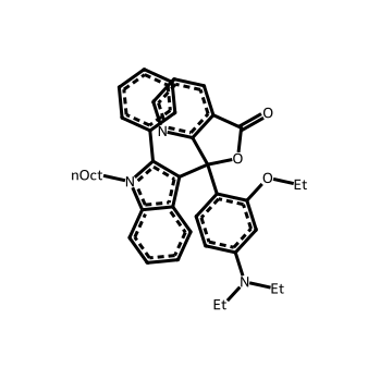 CCCCCCCCn1c(-c2ccccc2)c(C2(c3ccc(N(CC)CC)cc3OCC)OC(=O)c3cccnc32)c2ccccc21